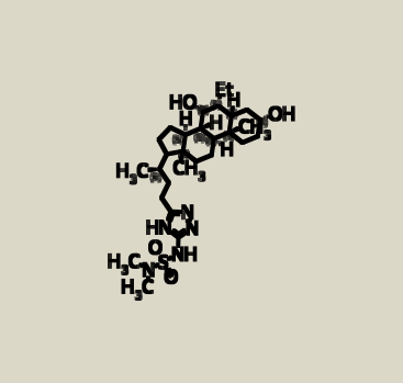 CC[C@H]1[C@@H](O)[C@@H]2[C@H](CC[C@]3(C)C([C@H](C)CCc4nnc(NS(=O)(=O)N(C)C)[nH]4)CC[C@@H]23)[C@@]2(C)CC[C@@H](O)C[C@@H]12